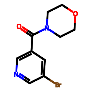 O=C(c1cncc(Br)c1)N1CCOCC1